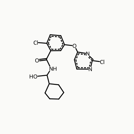 O=C(NC(O)C1CCCCC1)c1cc(Oc2ccnc(Cl)n2)ccc1Cl